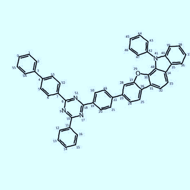 c1ccc(-c2ccc(-c3nc(-c4ccccc4)nc(-c4ccc(-c5ccc6c(c5)oc5c6ccc6c7ccccc7n(-c7ccccc7)c65)cc4)n3)cc2)cc1